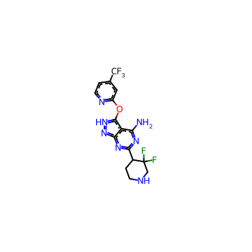 Nc1nc(C2CCNCC2(F)F)nc2n[nH]c(Oc3cc(C(F)(F)F)ccn3)c12